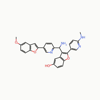 CNc1ccc(-c2oc3ccc(O)cc3c2C(N)c2ccc(-c3cc4cc(OC)ccc4o3)cn2)cn1